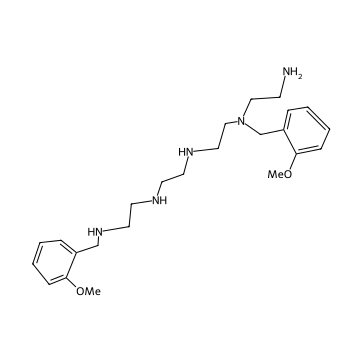 COc1ccccc1CNCCNCCNCCN(CCN)Cc1ccccc1OC